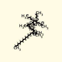 CCCCCCCCCCCCCC[C@H]1OC(C)(C)O[C@H]1[C@H](CO[C@H]1OC(COC(C)=O)[C@@H](OCCCC)[C@H](OCCCC)C1OCCCC)N=[N+]=[N-]